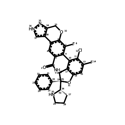 NC(=O)c1cc2c(c(F)c1-c1c(Cl)c(F)cc3c1C[C@](c1ccccc1)([C@@H]1CCCN1)O3)OCc1n[nH]cc1-2